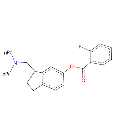 CCCN(CCC)CC1CCc2ccc(OC(=O)c3ccccc3F)cc21